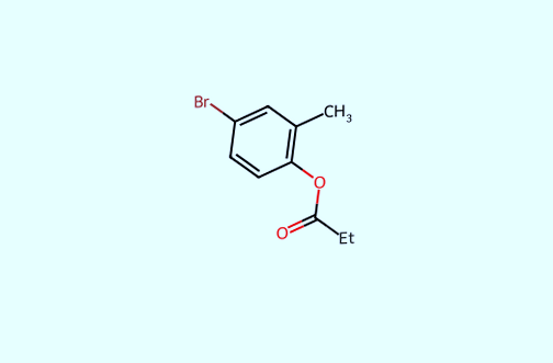 CCC(=O)Oc1ccc(Br)cc1C